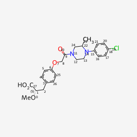 CO[C@@H](Cc1ccc(OCC(=O)N2CCN(c3ccc(Cl)cc3)C(C)C2)cc1)C(=O)O